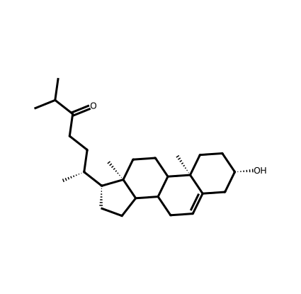 CC(C)C(=O)CC[C@@H](C)[C@H]1CCC2C3CC=C4C[C@@H](O)CC[C@]4(C)C3CC[C@@]21C